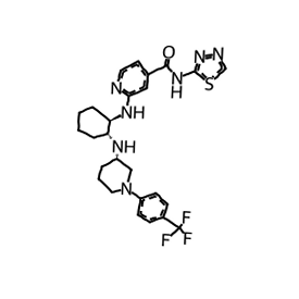 O=C(Nc1nncs1)c1ccnc(N[C@@H]2CCCC[C@H]2N[C@H]2CCCN(c3ccc(C(F)(F)F)cc3)C2)c1